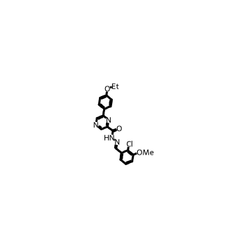 CCOc1ccc(-c2cncc(C(=O)N/N=C/c3cccc(OC)c3Cl)n2)cc1